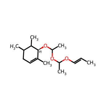 CC=COC(C)OC(C)O[C@H]1C(C)=CCC(C)C1C